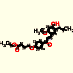 C=CCc1cc(/C=C/C(=O)c2ccc(OCCCC(=O)OCC)cc2)c(OC)cc1O